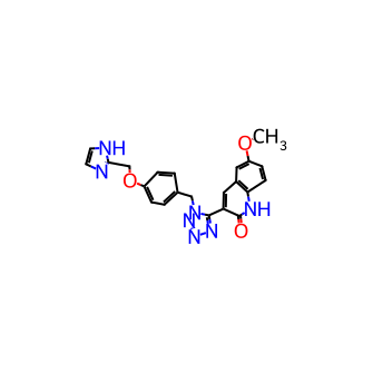 COc1ccc2[nH]c(=O)c(-c3nnnn3Cc3ccc(OCc4ncc[nH]4)cc3)cc2c1